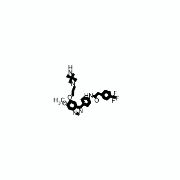 COc1cc2ncnc(-c3ccc(NC(=O)Cc4ccc(C(F)(F)F)cc4)cc3)c2cc1OCCCN1CC2(CNC2)C1